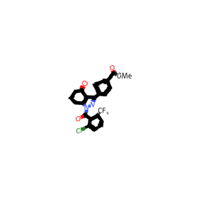 COC(=O)c1ccc(-c2nn(C(=O)c3c(Cl)cccc3C(F)(F)F)c3c2C(=O)CCC3)cc1